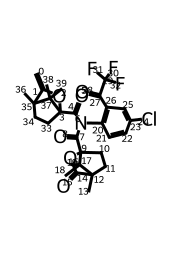 C=C1OC2(C(=O)N(C(=O)C34CCC(C)(C(=O)O3)C4(C)C)c3ccc(Cl)cc3C(=O)C(F)(F)F)CCC1(C)C2(C)C